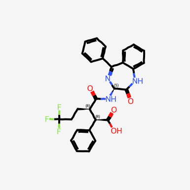 O=C1Nc2ccccc2C(c2ccccc2)=N[C@@H]1NC(=O)[C@H](CCC(F)(F)F)[C@@H](C(=O)O)c1ccccc1